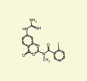 CN(C(=O)c1ccccc1I)c1nc2cc(NC(=N)N)ccc2c(=O)o1